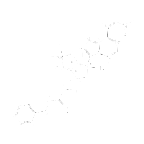 CN(C)/C=N\c1ncnn2c([C@]3(C#N)O[C@H](COC(=O)OCc4ccccc4)[C@H]4OC(C)(C)O[C@H]43)ccc12